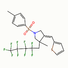 Cc1ccc(S(=O)(=O)N2C/C(=C/c3cccs3)C(C)(CC(F)(F)C(F)(F)C(F)(F)C(F)(F)F)C2)cc1